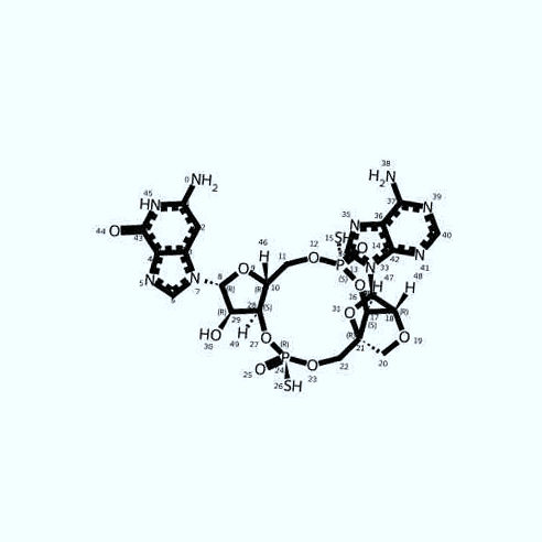 Nc1cc2c(ncn2[C@@H]2O[C@@H]3CO[P@](=O)(S)O[C@H]4[C@H]5OC[C@]4(CO[P@@](=O)(S)O[C@H]3[C@H]2O)O[C@H]5n2cnc3c(N)ncnc32)c(=O)[nH]1